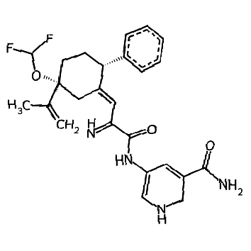 C=C(C)[C@@]1(OC(F)F)CC[C@H](c2ccccc2)/C(=C/C(=N)C(=O)NC2=CNCC(C(N)=O)=C2)C1